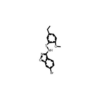 CCc1ccc(OC)c(SNc2noc3cc(Br)ccc23)c1